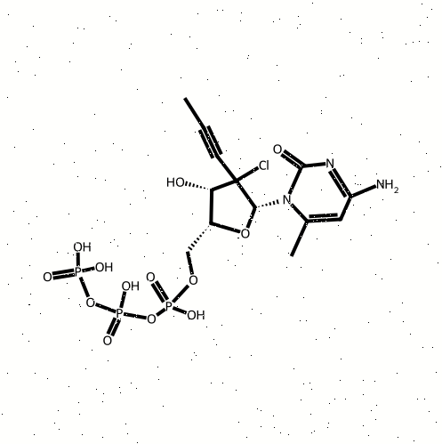 CC#CC1(Cl)[C@@H](O)[C@@H](COP(=O)(O)OP(=O)(O)OP(=O)(O)O)O[C@H]1n1c(C)cc(N)nc1=O